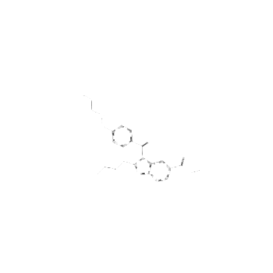 CCCCc1oc2ccc(C(=O)OC)cc2c1C(=O)c1ccc(OOCCO)cc1